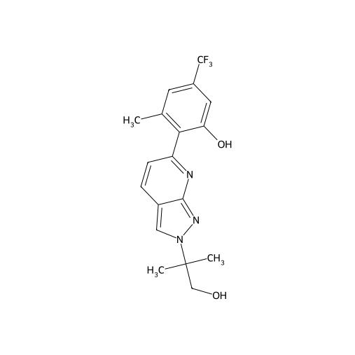 Cc1cc(C(F)(F)F)cc(O)c1-c1ccc2cn(C(C)(C)CO)nc2n1